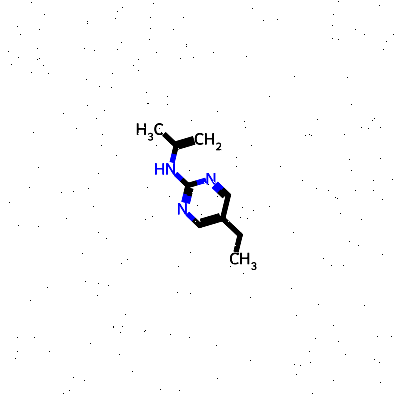 C=C(C)Nc1ncc(CC)cn1